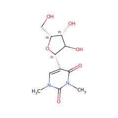 Cn1cc([C@@H]2O[C@H](CO)[C@H](O)C2O)c(=O)n(C)c1=O